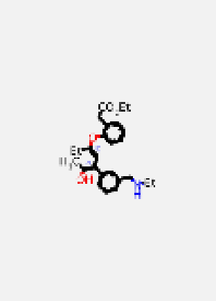 CCNCc1cccc(C(/C=C(\CC)Oc2ccccc2CC(=O)OCC)=C(/C)O)c1